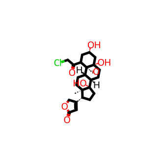 C[C@]12CC[C@H]3[C@@H](CC[C@]4(O)C[C@@H](O)CC(C(=O)CCl)[C@]34C=O)[C@@]1(O)CC[C@@H]2C1=CC(=O)OC1